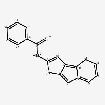 O=C(Nc1nc2c(s1)=CC1=CC=CCC=21)c1ccccc1